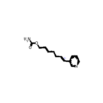 NC(=O)OCCCCC/C=C/c1cccnc1